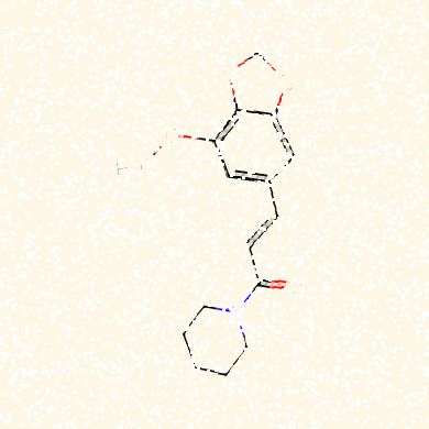 COc1cc(C=CC(=O)N2CCCCC2)cc2c1OCO2